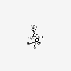 CN1CCN(CCN(C)C(=O)c2cc(N(CCBr)CCBr)c(C#N)cc2[N+](=O)[O-])CC1